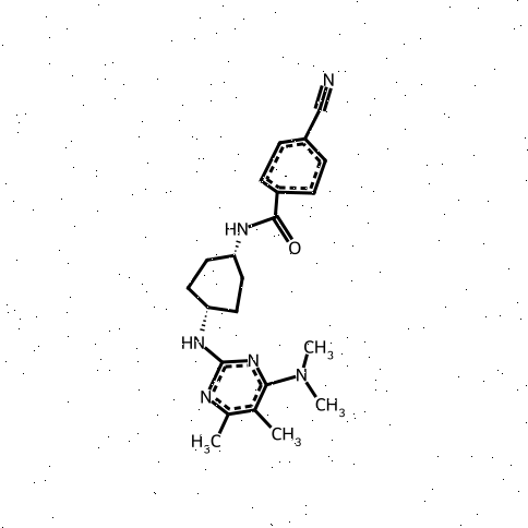 Cc1nc(N[C@H]2CC[C@@H](NC(=O)c3ccc(C#N)cc3)CC2)nc(N(C)C)c1C